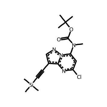 CN(C(=O)OC(C)(C)C)c1cc(Cl)nc2c(C#C[Si](C)(C)C)cnn12